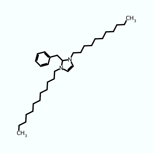 CCCCCCCCCCCCN1C=CN(CCCCCCCCCCC)C1Cc1ccccc1